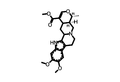 COC(=O)C1=CO[C@H](C)[C@H]2CN3CCc4c([nH]c5cc(OC)c(OC)cc45)C3CC12